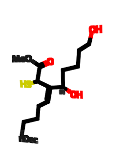 CCCCCCCCCCCCCC=C(C(S)C(=O)OC)[C@H](O)CCCCO